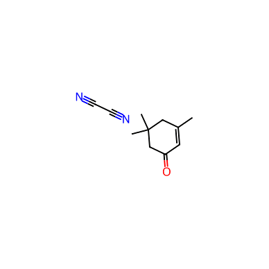 CC1=CC(=O)CC(C)(C)C1.N#CC#N